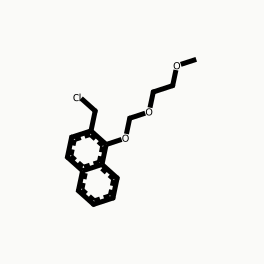 COCCOCOc1c(CCl)ccc2ccccc12